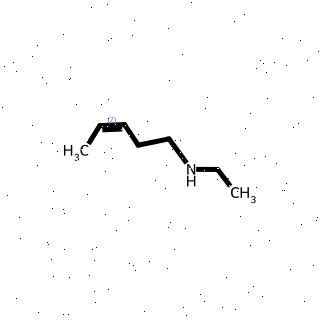 C/C=C\CCNCC